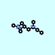 c1ccc(-c2ccc(-c3cc(-c4cccc(-c5cccc(-c6c7ccccc7c7nc(-c8ccccc8)nc(-c8ccccc8)n67)c5)c4)nc(-c4ccccc4)n3)cc2)cc1